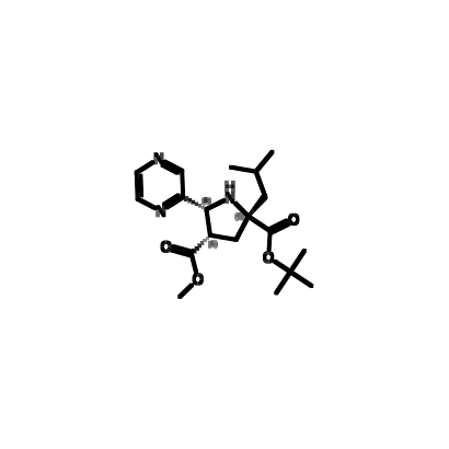 COC(=O)[C@H]1C[C@@](CC(C)C)(C(=O)OC(C)(C)C)N[C@H]1c1cnccn1